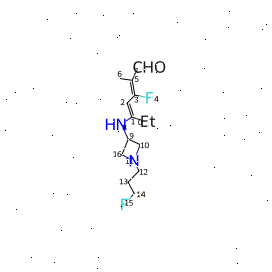 CC/C(=C\C(F)=C(/C)C=O)NC1CN(CCCF)C1